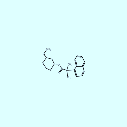 CC[C@H]1C[C@H](OC(=O)C(C)(C)c2cccc3ccccc23)CCO1